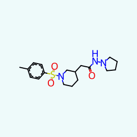 Cc1ccc(S(=O)(=O)N2CCCC(CC(=O)NN3CCCC3)C2)cc1